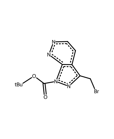 CC(C)(C)OC(=O)n1nc(CBr)c2ccnnc21